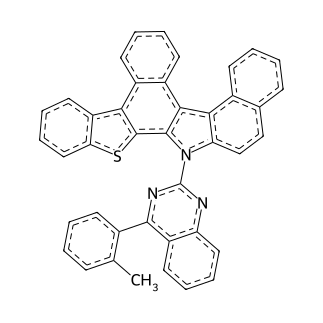 Cc1ccccc1-c1nc(-n2c3ccc4ccccc4c3c3c4ccccc4c4c5ccccc5sc4c32)nc2ccccc12